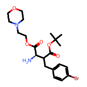 CC(C)(C)OC(=O)C(Cc1ccc(Br)cc1)[C@@H](N)C(=O)OCCN1CCOCC1